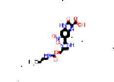 CCCCNC(=O)OCc1c[nH]c(-c2cc3nc(C(=O)O)c(=O)[nH]c3cc2[N+](=O)[O-])n1